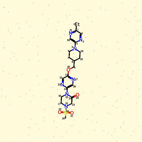 CCc1cnc(N2CCC(COc3cnc(N4CCN(S(C)(=O)=O)CC4=O)cn3)CC2)cn1